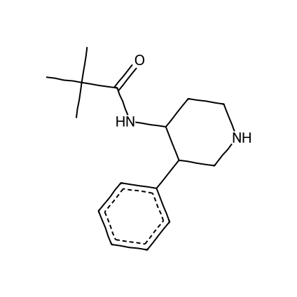 CC(C)(C)C(=O)NC1CCNCC1c1ccccc1